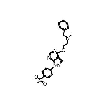 CN(CCOc1ncnc2c1cnn2-c1ccc(S(C)(=O)=O)cc1)Cc1ccccc1